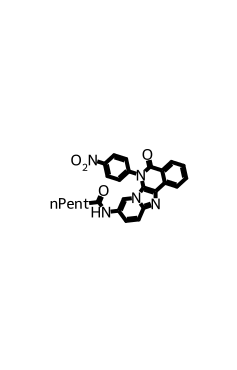 CCCCCC(=O)Nc1ccc2nc3c4ccccc4c(=O)n(-c4ccc([N+](=O)[O-])cc4)c3n2c1